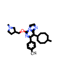 CC1CCCC(c2c(-c3ccc(C#N)cc3)nc(OCC3CCN(C)C3)n3ccnc23)CCC1